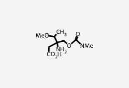 CNC(=O)OCC(N)(CC(=O)O)C(C)OC